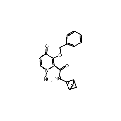 Nn1ccc(=O)c(OCc2ccccc2)c1C(=O)NC1C2CC1C2F